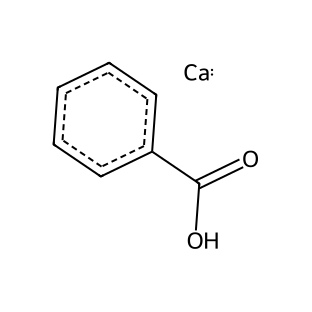 O=C(O)c1ccccc1.[Ca]